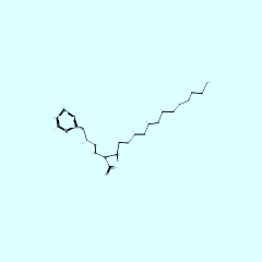 CCCCCCCCCCCCCC1OC(=O)C1CCCCc1ccccc1